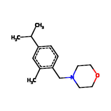 Cc1cc(C(C)C)ccc1CN1CCOCC1